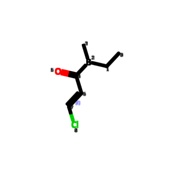 CCB(C)C(=O)/C=C/Cl